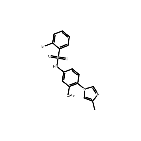 COc1cc(NS(=O)(=O)c2ccccc2Br)ccc1-n1cnc(C)c1